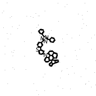 c1ccc(-c2nc(-c3ccccc3)nc(-c3ccc4sc5ccc(-n6c7cccc8c7c7c9c(cccc9ccc76)C86c7ccccc7-c7ccccc76)cc5c4c3)n2)cc1